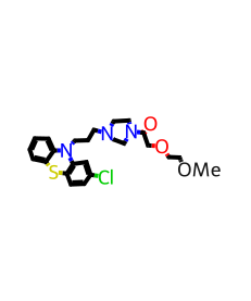 COCCOCC(=O)N1CCN(CCCN2c3ccccc3Sc3ccc(Cl)cc32)CC1